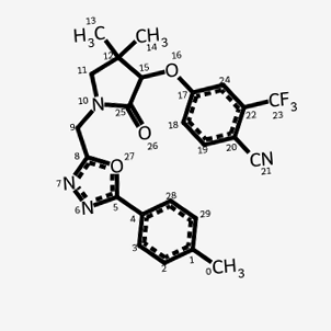 Cc1ccc(-c2nnc(CN3CC(C)(C)C(Oc4ccc(C#N)c(C(F)(F)F)c4)C3=O)o2)cc1